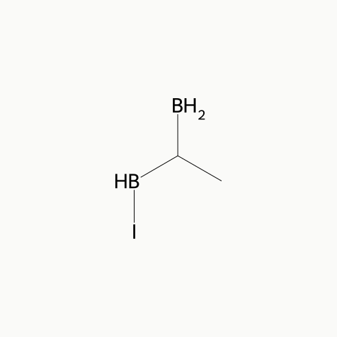 BC(C)BI